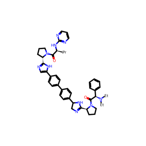 CCN(CC)[C@@H](C(=O)N1CCC[C@H]1C1=NCC(c2ccc(-c3ccc(-c4cnc([C@@H]5CCCN5C(=O)[C@@H](Nc5ncccn5)C(C)C)[nH]4)cc3)cc2)N1)c1ccccc1